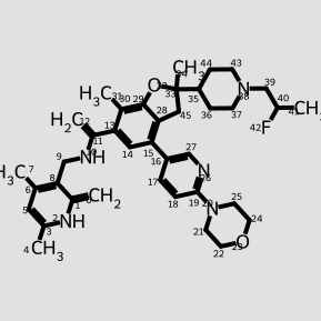 C=C1NC(C)=CC(C)=C1CNC(=C)c1cc(-c2ccc(N3CCOCC3)nc2)c2c(c1C)OC(C)(C1CCN(CC(C)F)CC1)C2